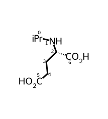 CC(C)N[C@@H](CCC(=O)O)C(=O)O